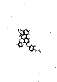 CC1(C)Cc2c(ccc(O[C@H]3CC[C@H](N)CC3)c2N2CC=CC2=O)-c2ncnc(N)c21